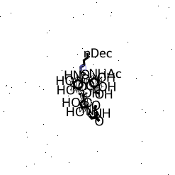 CCCCCCCCCCCC/C=C/C(=O)N[C@H]1[C@H](O[C@H]2O[C@H](CO)[C@@H](O)[C@H](O)[C@H]2NC(C)=O)O[C@H](C[C@@H](O)[C@H]2O[C@@H](n3ccc(=O)[nH]c3=O)[C@H](O)[C@@H]2O)[C@H](O)[C@@H]1O